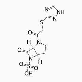 O=C(CSc1nc[nH]n1)N1CC[C@@H]2[C@H]1C(=O)N2S(=O)(=O)O